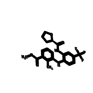 COC(=O)c1cccc(Nc2ccc(C(F)(F)F)cc2NC(=O)[C@H]2CCCO2)c1C